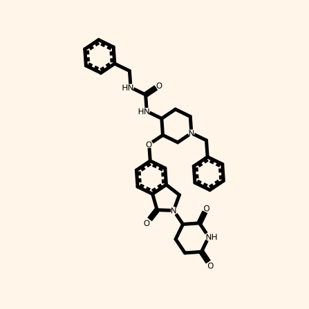 O=C1CCC(N2Cc3cc(OC4CN(Cc5ccccc5)CCC4NC(=O)NCc4ccccc4)ccc3C2=O)C(=O)N1